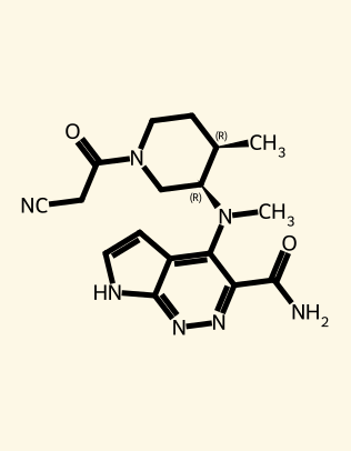 C[C@@H]1CCN(C(=O)CC#N)C[C@@H]1N(C)c1c(C(N)=O)nnc2[nH]ccc12